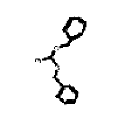 CC(C)C(OCc1ccccc1)SCc1ccccc1